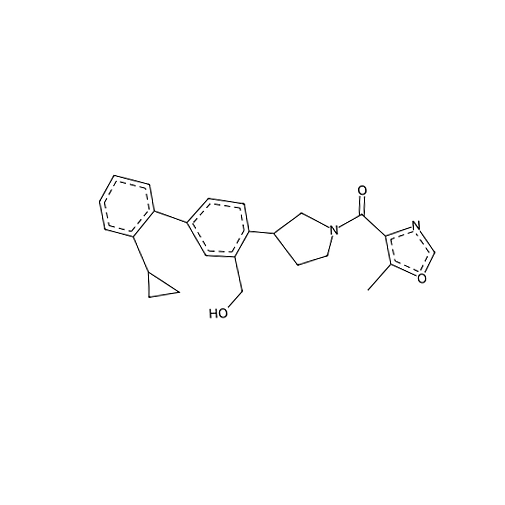 Cc1ocnc1C(=O)N1CCC(c2ccc(-c3ccccc3C3CC3)cc2CO)C1